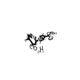 Cc1cnc(N2CC3CCC2CN3C(=O)OC(C)(C)C)cc1C(=O)O